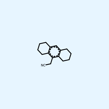 N#CCc1c2c(cc3c1CCCC3)CCCC2